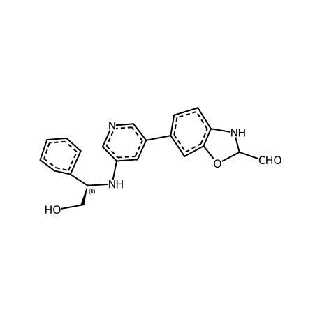 O=CC1Nc2ccc(-c3cncc(N[C@@H](CO)c4ccccc4)c3)cc2O1